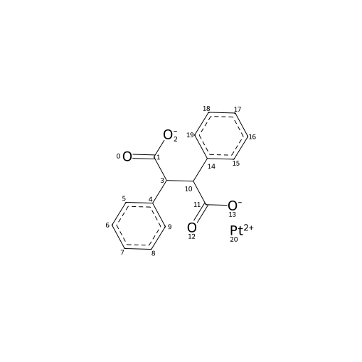 O=C([O-])C(c1ccccc1)C(C(=O)[O-])c1ccccc1.[Pt+2]